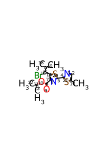 Cc1cnc(-c2nc(C(=O)OC(C)C)c(C(Br)C(C)C)s2)s1